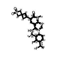 C[C@@H](Nc1ncnc2c1cc(C1=CC3(C1)CS(=O)(=O)C3)c(=O)n2C)c1cccc(C(F)F)c1F